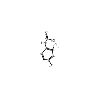 Fc1ccc(NC(=S)Cl)c(C(F)(F)F)c1